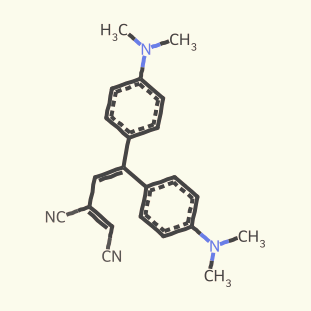 CN(C)c1ccc(C(=CC(C#N)=CC#N)c2ccc(N(C)C)cc2)cc1